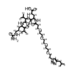 CC(C)Cc1cn(CCOCCOCCOCCOCCC(=O)NC(CCC(=O)O)C(=O)NC(C(=O)NC(CCCNC(N)=O)C(=O)C(C)C)C(C)C)nn1